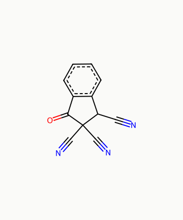 N#CC1c2ccccc2C(=O)C1(C#N)C#N